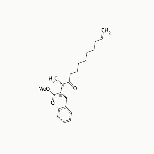 C=CCCCCCCCC(=O)N(C)[C@@H](Cc1ccccc1)C(=O)OC